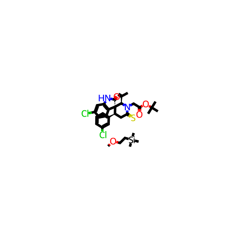 C=C(C)[C@H]1N(CC(=O)OC(C)(C)C)C(=S)C[C@@H](c2cccc(Cl)c2)[C@]12C(=O)Nc1cc(Cl)ccc12.COCC[Si](C)(C)C